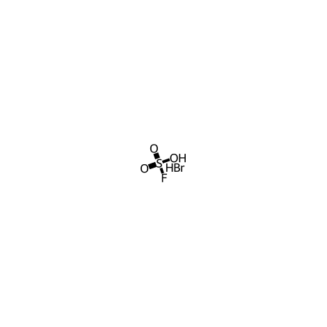 Br.O=S(=O)(O)F